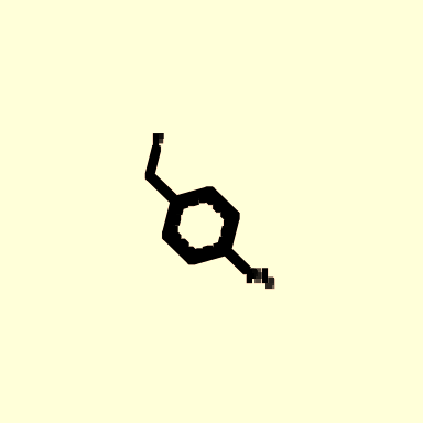 FCc1ccc(P)cc1